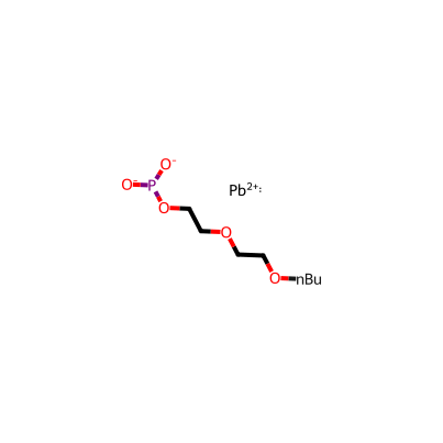 CCCCOCCOCCOP([O-])[O-].[Pb+2]